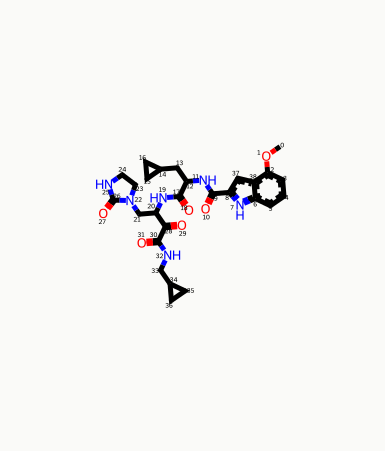 COc1cccc2[nH]c(C(=O)NC(CC3CC3)C(=O)NC(CN3CCNC3=O)C(=O)C(=O)NCC3CC3)cc12